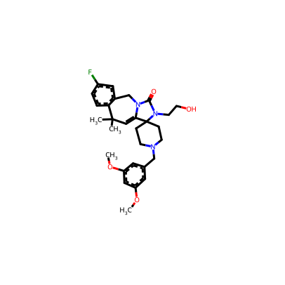 COc1cc(CN2CCC3(CC2)C2=CC(C)(C)c4ccc(F)cc4CN2C(=O)N3CCO)cc(OC)c1